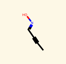 CC#C/C=N/O